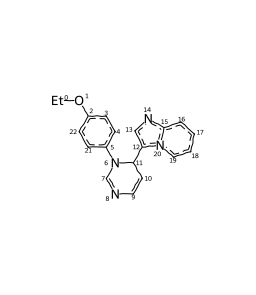 CCOc1ccc(N2C=NC=CC2c2cnc3ccccn23)cc1